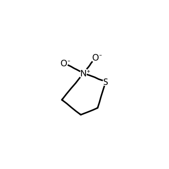 [O-][N+]1([O-])CCCS1